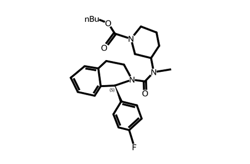 CCCCOC(=O)N1CCCC(N(C)C(=O)N2CCc3ccccc3[C@@H]2c2ccc(F)cc2)C1